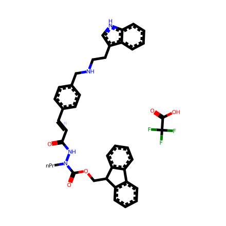 CCCN(NC(=O)/C=C/c1ccc(CNCCc2c[nH]c3ccccc23)cc1)C(=O)OCC1c2ccccc2-c2ccccc21.O=C(O)C(F)(F)F